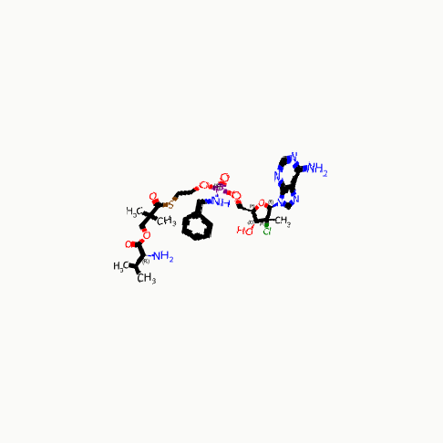 CC(C)[C@@H](N)C(=O)OCC(C)(C)C(=O)SCCO[P@](=O)(NCc1ccccc1)OC[C@H]1O[C@@H](n2cnc3c(N)ncnc32)[C@](C)(Cl)[C@@H]1O